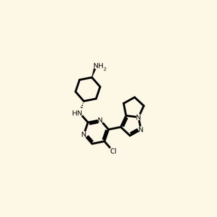 N[C@H]1CC[C@H](Nc2ncc(Cl)c(-c3cnn4c3CCC4)n2)CC1